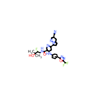 CC(C)(O)C(F)CNC(=O)c1cnc(-c2ccc3cc(C#N)cnn23)cc1NC12CCC(c3nnc(C(F)F)o3)(CC1)CC2